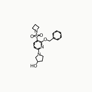 O=S(=O)(c1ccc(N2CCC(O)C2)nc1OCc1ccccc1)N1CCC1